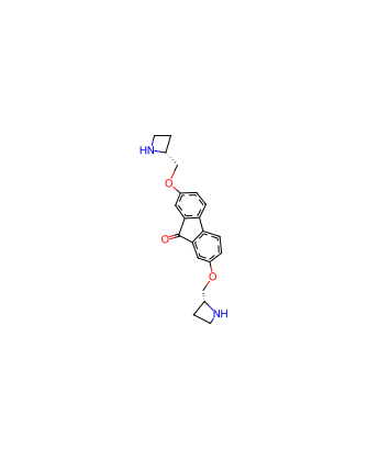 O=C1c2cc(OC[C@H]3CCN3)ccc2-c2ccc(OC[C@H]3CCN3)cc21